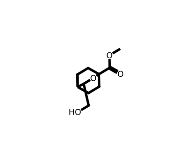 COC(=O)C12CCC(CC1)C(CO)O2